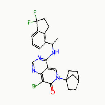 CC(Nc1ncnc2c(Br)c(=O)n(C34CCC(CC3)C4)cc12)c1cccc2c1CCC2(F)F